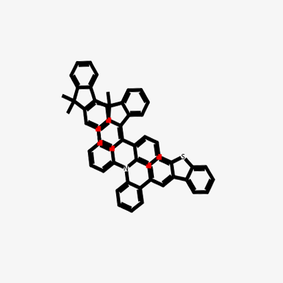 CC1(C)C2=C(CCC(c3cccc(N(c4ccccc4-c4ccc5sc6ccccc6c5c4)c4ccccc4-c4cccc5c4-c4ccccc4C5(C)C)c3)=C2)c2ccccc21